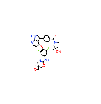 CN(CC(C)(C)O)C(=O)c1ccc(-c2c[nH]c3nccc(Oc4c(F)cc(NC5=NCC6(COC6)CO5)cc4F)c23)cc1